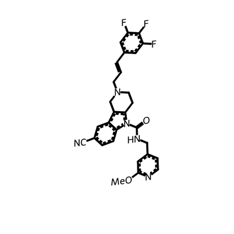 COc1cc(CNC(=O)n2c3c(c4cc(C#N)ccc42)CN(CC=Cc2cc(F)c(F)c(F)c2)CC3)ccn1